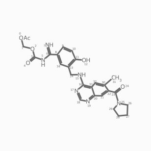 CC(=O)OCOC(=O)NC(=N)c1ccc(O)c(CNc2ncnc3cc(C(=O)N4CCCC4)c(C)cc23)c1